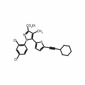 CCOC(=O)c1nn(-c2ccc(Cl)cc2Cl)c(-c2ccc(C#CC3CCCCC3)s2)c1C